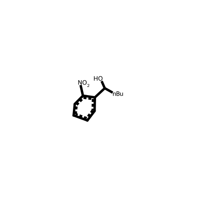 CCCCC(O)c1ccccc1[N+](=O)[O-]